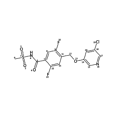 CS(=O)(=O)NC(=O)c1cc(F)c(COc2cncc(Cl)c2)cc1F